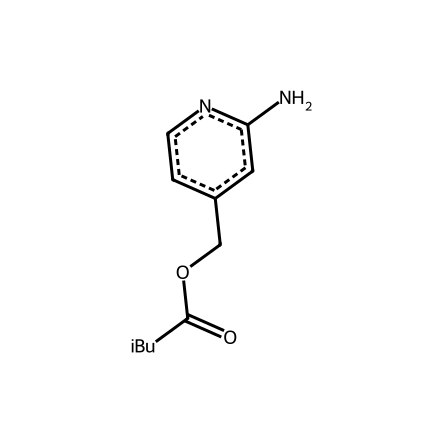 CCC(C)C(=O)OCc1ccnc(N)c1